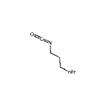 C[CH]CCCCN=C=O